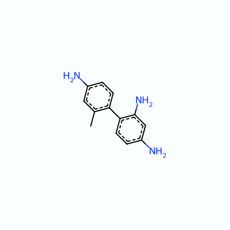 Cc1cc(N)ccc1-c1ccc(N)cc1N